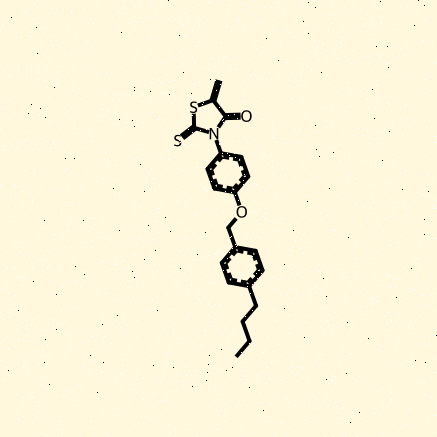 C=C1SC(=S)N(c2ccc(OCc3ccc(CCCC)cc3)cc2)C1=O